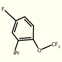 [CH2]C(C)c1cc(F)ccc1OC(F)(F)F